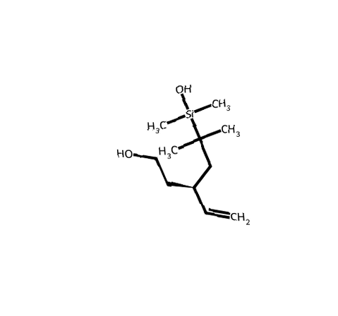 C=C[C@@H](CCO)CC(C)(C)[Si](C)(C)O